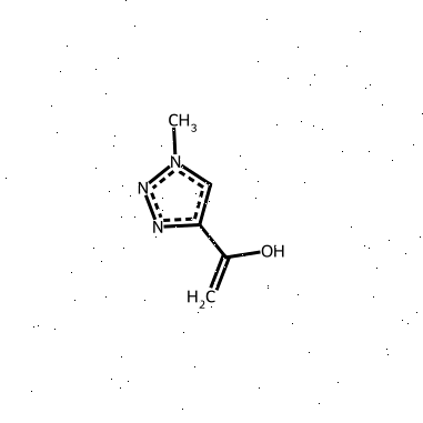 C=C(O)c1cn(C)nn1